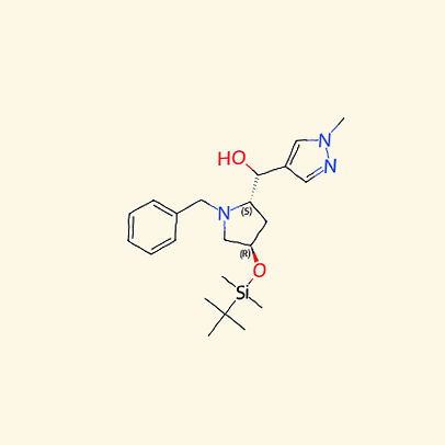 Cn1cc(C(O)[C@@H]2C[C@@H](O[Si](C)(C)C(C)(C)C)CN2Cc2ccccc2)cn1